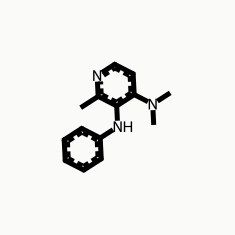 Cc1nccc(N(C)C)c1Nc1ccccc1